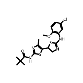 COc1ccc(Cl)cc1NC1=NCC(c2sc(NC(=O)C(C)(C)C)nc2C)S1